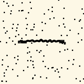 CCCCCCCCCCCCCCCCCCCCCCCCN